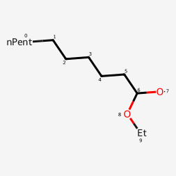 CCCCCCCCCCC([O])OCC